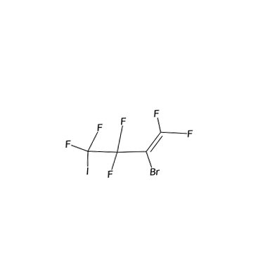 FC(F)=C(Br)C(F)(F)C(F)(F)I